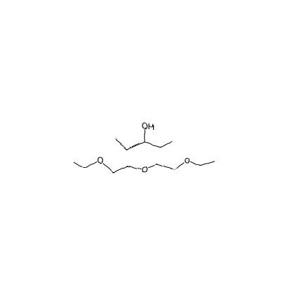 CCC(O)CC.CCOCCOCCOCC